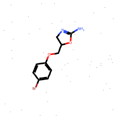 NC1=NCC(COc2ccc(Br)cc2)O1